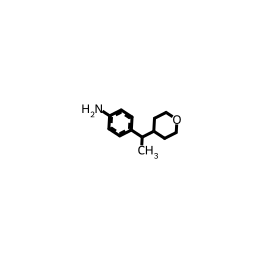 CC(c1ccc(N)cc1)C1CCOCC1